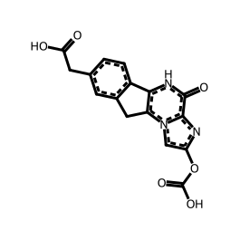 O=C(O)Cc1ccc2c(c1)Cc1c-2[nH]c(=O)c2nc(OC(=O)O)cn12